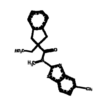 CN(C(=O)C1(CC(=O)O)Cc2ccccc2C1)c1nc2cc(O)ccc2s1